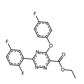 CCOC(=O)c1nnc(-c2cc(F)ccc2F)nc1Oc1ccc(F)cc1